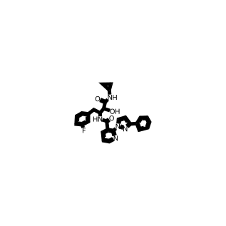 O=C(NC(Cc1cccc(F)c1)C(O)C(=O)NC1CC1)c1cccnc1-n1ccc(-c2ccccc2)n1